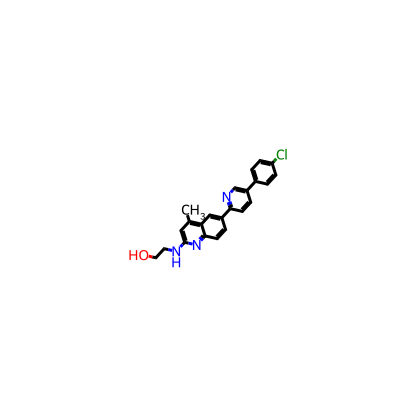 Cc1cc(NCCO)nc2ccc(-c3ccc(-c4ccc(Cl)cc4)cn3)cc12